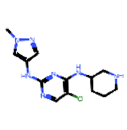 Cn1cc(Nc2ncc(Cl)c(NC3CCCNC3)n2)cn1